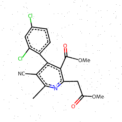 COC(=O)Cc1nc(C)c(C#N)c(-c2ccc(Cl)cc2Cl)c1C(=O)OC